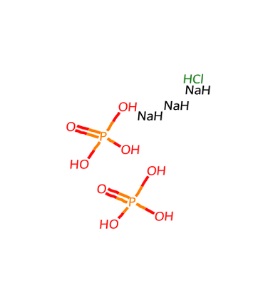 Cl.O=P(O)(O)O.O=P(O)(O)O.[NaH].[NaH].[NaH]